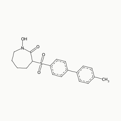 Cc1ccc(-c2ccc(S(=O)(=O)C3CCCCN(O)C3=O)cc2)cc1